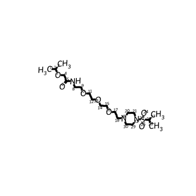 CC(C)OCC(=O)NCCOCCOCCOCCN1CCN(S(=O)(=O)C(C)C)CC1